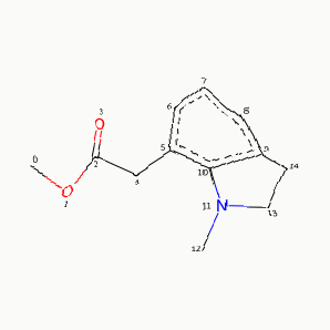 COC(=O)Cc1cccc2c1N(C)CC2